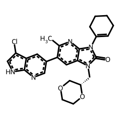 Cc1nc2c(cc1-c1cnc3[nH]cc(Cl)c3c1)n(C[C@H]1COCCO1)c(=O)n2C1=CCCCC1